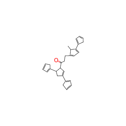 CC1C(CCC(=O)C2C=C(C3=CC=CC3)CC2C2=CC=CC2)=CC=C1C1=CC=CC1